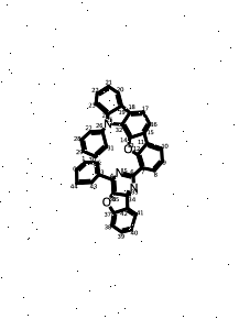 c1ccc(-c2nc(-c3cccc4c3oc3c4ccc4c5ccccc5n(-c5ccccc5)c43)nc3c2oc2ccccc23)cc1